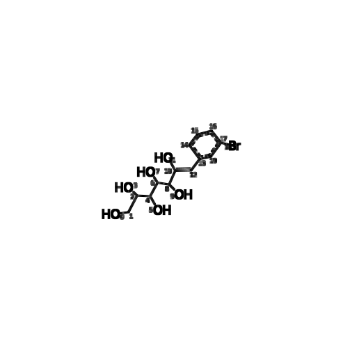 OCC(O)C(O)C(O)C(O)C(O)=Cc1cccc(Br)c1